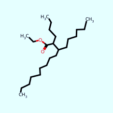 CCCCCCCCCC(CCCCCC)C(CCCC)C(=O)OCC